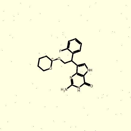 Nc1nc2c(C(CO[C@@H]3CCCCO3)c3ccccc3F)c[nH]c2c(=O)[nH]1